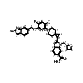 Cn1cc2ccc(COc3nc(N4CCC5(CC4)CC5c4nc5ccc(C(=O)O)cc5n4C[C@@H]4CCO4)c(F)cc3F)cc2n1